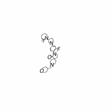 C[C@H]1CCCCN1C1CCN(c2ccc(N3CCC4(CCN(CC5CCOCC5)CC4)C3=O)c(F)c2)C1